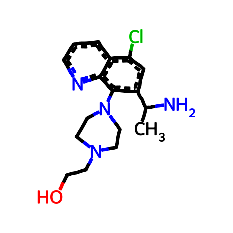 CC(N)c1cc(Cl)c2cccnc2c1N1CCN(CCO)CC1